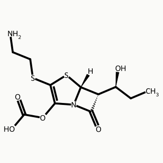 CC[C@H](O)[C@@H]1C(=O)N2C(OC(=O)O)=C(SCCN)S[C@H]12